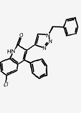 O=c1[nH]c2ccc(Cl)cc2c(-c2ccccc2)c1-c1cn(Cc2ccccc2)nn1